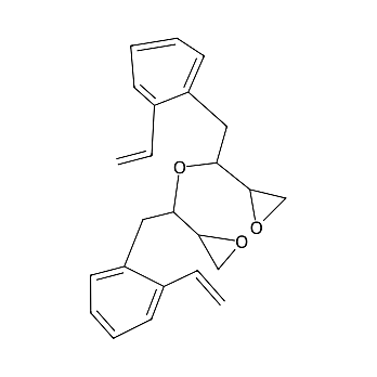 C=Cc1ccccc1CC(OC(Cc1ccccc1C=C)C1CO1)C1CO1